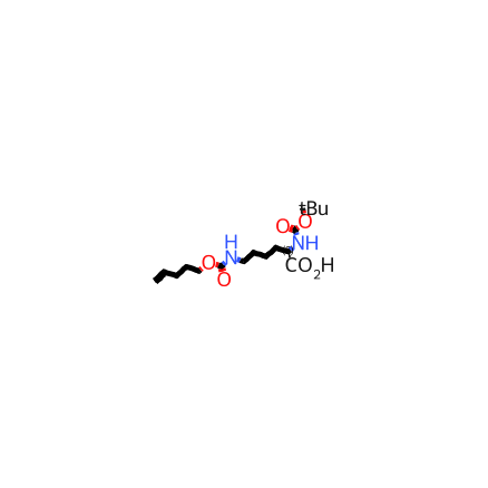 C=CCCCOC(=O)NCCCC[C@H](NC(=O)OC(C)(C)C)C(=O)O